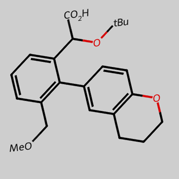 COCc1cccc(C(OC(C)(C)C)C(=O)O)c1-c1ccc2c(c1)CCCO2